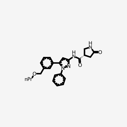 CCCOCc1cccc(-c2cc(NC(=O)[C@@H]3CNC(=O)C3)nn2-c2ccccc2)c1